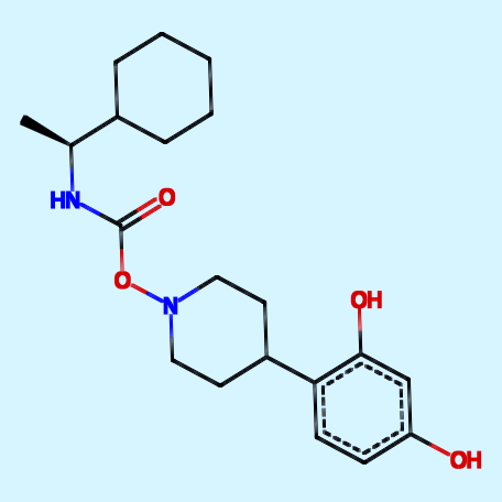 C[C@H](NC(=O)ON1CCC(c2ccc(O)cc2O)CC1)C1CCCCC1